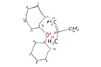 C1CCC(OC2CCCCC2)CC1.C=C(C)C